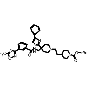 CC(C)(C)OC(=O)N1CCC(CCN2CCC(CNC(=O)c3cccc(-c4noc(C(F)(F)F)n4)c3)(c3nc(-c4ccccc4)cs3)CC2)CC1